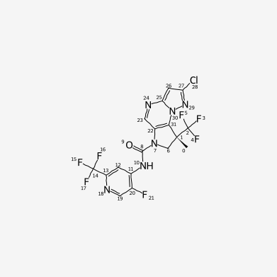 C[C@@]1(C(F)(F)F)CN(C(=O)Nc2cc(C(F)(F)F)ncc2F)c2cnc3cc(Cl)nn3c21